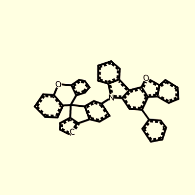 c1ccc(-c2cc3c(c4ccccc4n3-c3ccc4c(c3)C3(c5ccccc5Oc5ccccc53)c3ccccc3-4)c3oc4ccccc4c23)cc1